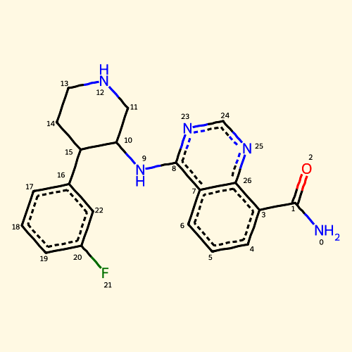 NC(=O)c1cccc2c(NC3CNCCC3c3cccc(F)c3)ncnc12